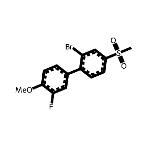 COc1ccc(-c2ccc(S(C)(=O)=O)cc2Br)cc1F